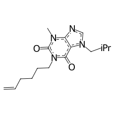 C=CCCCCn1c(=O)c2c(ncn2CC(C)C)n(C)c1=O